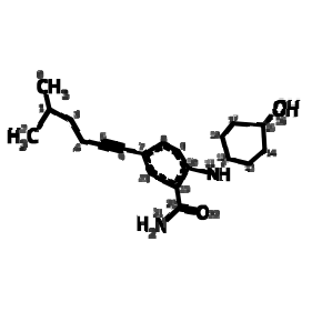 CC(C)CCC#Cc1ccc(N[C@H]2CC[C@H](O)CC2)c(C(N)=O)c1